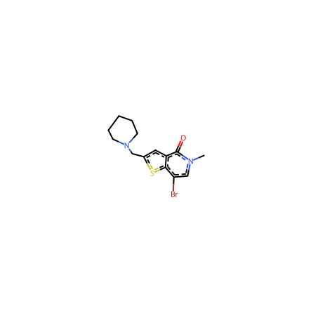 Cn1cc(Br)c2sc(CN3CCCCC3)cc2c1=O